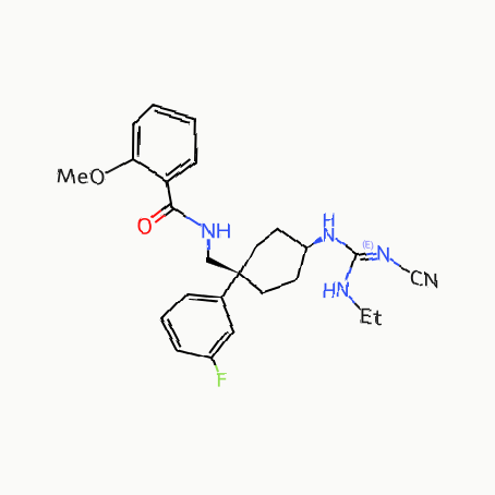 CCN/C(=N\C#N)N[C@H]1CC[C@](CNC(=O)c2ccccc2OC)(c2cccc(F)c2)CC1